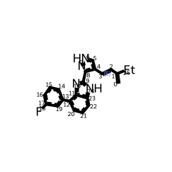 C=C(/C=C/c1c[nH]nc1-c1nc2c(-c3cccc(F)c3)cccc2[nH]1)CC